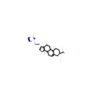 C[C@]12CC[C@H]3[C@@H](CC=C4C[C@@](O)(C(F)F)CC[C@@H]43)[C@@H]1CC[C@@H]2C(=O)Cn1ccnc1